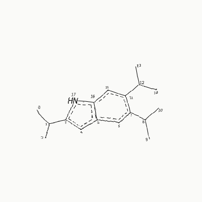 CC(C)c1cc2cc(C(C)C)c(C(C)C)cc2[nH]1